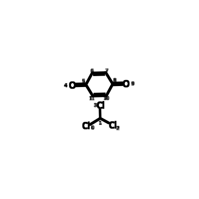 ClC(Cl)Cl.O=C1C=CC(=O)C=C1